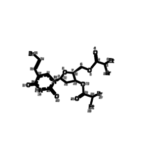 CCC(Br)C(=O)OC[C@@H]1O[C@H](n2cc(C=CBr)c(=O)[nH]c2=O)CC1OC(=O)C(Br)CC